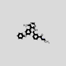 C/C=C/C(=O)c1cccc(CNc2ncnc(N)c2-c2ccc(Oc3ccccc3)cc2)c1